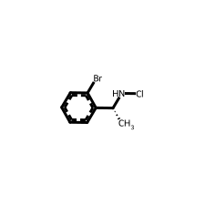 C[C@@H](NCl)c1ccccc1Br